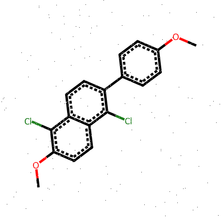 COc1ccc(-c2ccc3c(Cl)c(OC)ccc3c2Cl)cc1